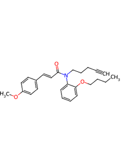 C#CCCCN(C(=O)/C=C/c1ccc(OC)cc1)c1ccccc1OCCCC